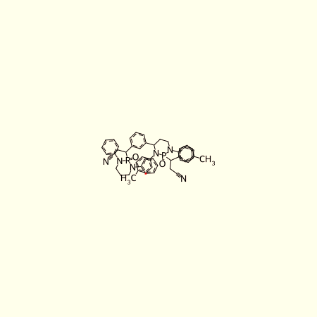 Cc1ccc(N2CCC(c3cccc(C(CC#N)P4(=O)N(c5ccccc5)CCCN4c4ccccc4)c3)N(c3ccc(C)cc3)P2(=O)C(CC#N)c2ccccc2)cc1